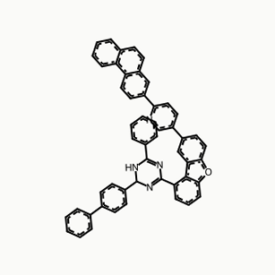 c1ccc(C2=NC(c3cccc4oc5ccc(-c6ccc(-c7ccc8c(ccc9ccccc98)c7)nc6)cc5c34)=NC(c3ccc(-c4ccccc4)cc3)N2)cc1